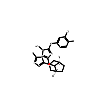 CCCn1nc(NC2[C@@H]3CC[C@H]2CN(c2nnc(C)o2)C3)nc1Oc1ccc(F)c(Cl)c1